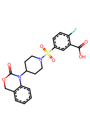 O=C(O)c1cc(S(=O)(=O)N2CCC(N3C(=O)OCc4ccccc43)CC2)ccc1F